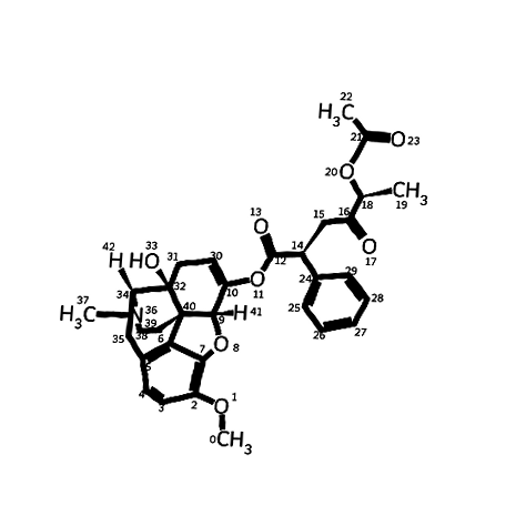 COc1ccc2c3c1O[C@H]1C(OC(=O)[C@@H](CC(=O)[C@H](C)OC(C)=O)c4ccccc4)=CC[C@@]4(O)[C@@H](C2)N(C)CC[C@]314